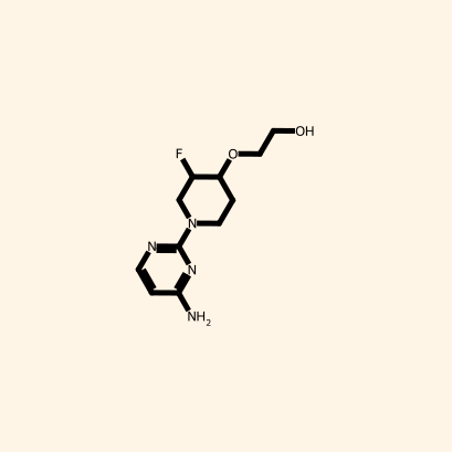 Nc1ccnc(N2CCC(OCCO)C(F)C2)n1